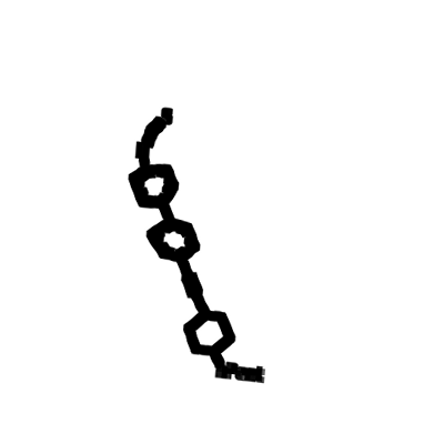 CCCCCC1CCC(C#Cc2ccc(-c3ccc(N=C=S)cc3)cc2)CC1